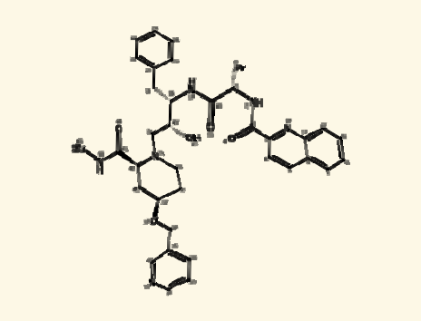 CC(C)[C@H](NC(=O)c1ccc2ccccc2n1)C(=O)N[C@@H](Cc1ccccc1)[C@H](O)CN1CC[C@@H](OCc2cccnc2)C[C@H]1C(=O)NC(C)(C)C